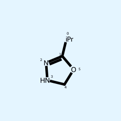 CC(C)C1=NNCO1